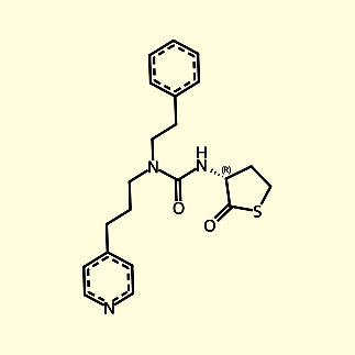 O=C1SCC[C@H]1NC(=O)N(CCCc1ccncc1)CCc1ccccc1